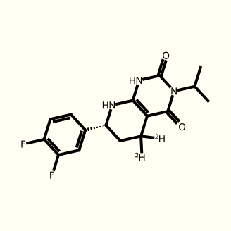 [2H]C1([2H])C[C@H](c2ccc(F)c(F)c2)Nc2[nH]c(=O)n(C(C)C)c(=O)c21